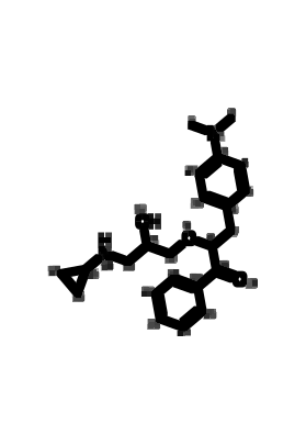 CN(C)c1ccc(CC(OCC(O)CNC2CC2)C(=O)c2ccccc2)cc1